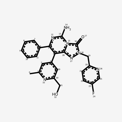 Cc1cc(-c2c(-c3ccccc3)nc(N)n3c(=O)n(Cc4ccc(F)cn4)nc23)cc(CO)n1